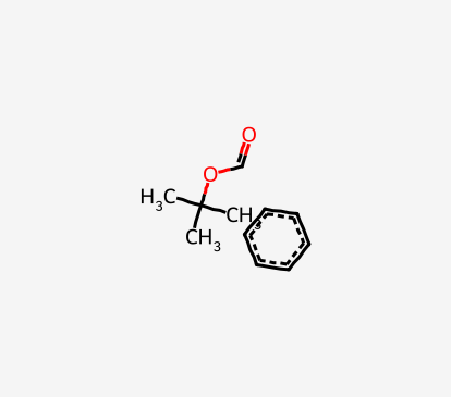 CC(C)(C)OC=O.c1ccccc1